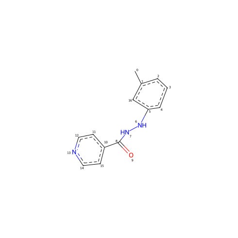 Cc1cccc(NNC(=O)c2ccncc2)c1